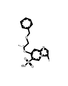 C[C@H](COCc1ccccc1)Oc1cc2ncc(I)n2cc1S(=O)(=O)C(C)(C)C